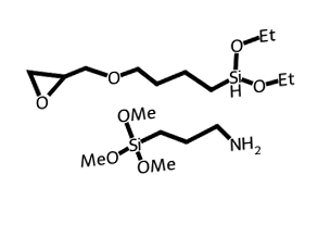 CCO[SiH](CCCCOCC1CO1)OCC.CO[Si](CCCN)(OC)OC